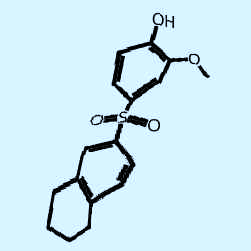 COc1cc(S(=O)(=O)c2ccc3c(c2)CCCC3)ccc1O